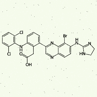 O=C(O)Cc1c(Nc2c(Cl)cccc2Cl)cccc1-c1cnc2ccc(NC3=NCCN3)c(Br)c2n1